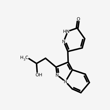 CC(O)Cc1nn2ccccc2c1-c1ccc(=O)[nH]n1